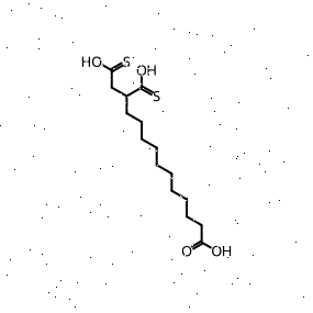 O=C(O)CCCCCCCCCCC(CC(O)=S)C(O)=S